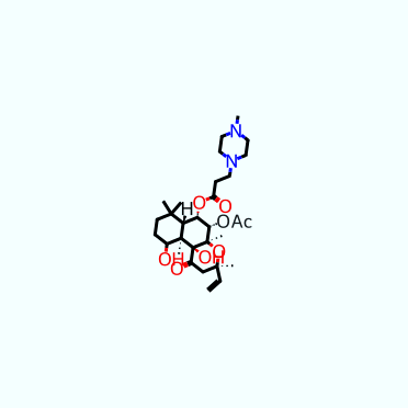 C=C[C@@]1(C)CC(=O)[C@]2(O)[C@@]3(C)C(O)CCC(C)(C)[C@@H]3[C@H](OC(=O)CCN3CCN(C)CC3)[C@H](OC(C)=O)[C@@]2(C)O1